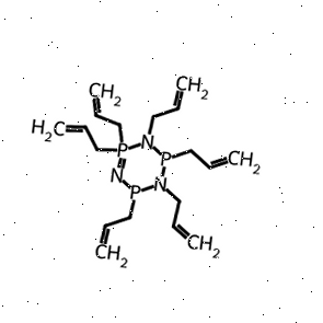 C=CCN1P(CC=C)N=P(CC=C)(CC=C)N(CC=C)P1CC=C